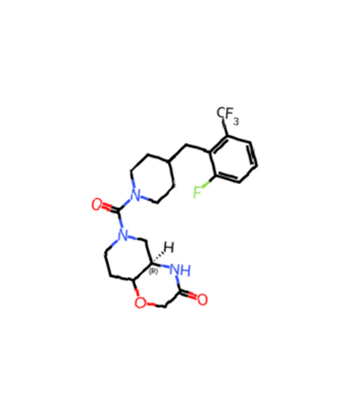 O=C1COC2CCN(C(=O)N3CCC(Cc4c(F)cccc4C(F)(F)F)CC3)C[C@H]2N1